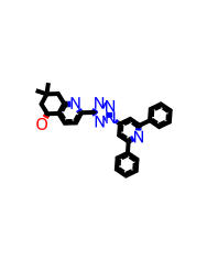 CC1(C)CC(=O)c2ccc(-c3nnn(-c4cc(-c5ccccc5)nc(-c5ccccc5)c4)n3)nc2C1